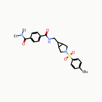 CCN(CC)C(=O)c1ccc(C(=O)NCC2C3CN(S(=O)(=O)c4ccc(C(C)(C)C)cc4)CC23)cc1